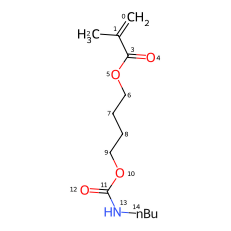 C=C(C)C(=O)OCCCCOC(=O)NCCCC